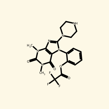 Cn1c(=O)c2c(nc(N3CCNCC3)n2-c2ccccc2OC(=O)C(F)(F)F)n(C)c1=O